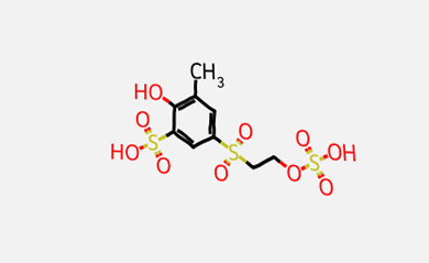 Cc1cc(S(=O)(=O)CCOS(=O)(=O)O)cc(S(=O)(=O)O)c1O